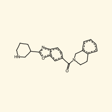 O=C(c1ccc2nc(C3CCCNC3)oc2c1)N1CCc2ccccc2C1